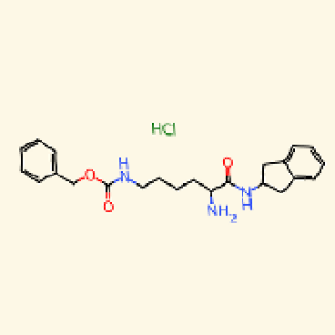 Cl.N[C@@H](CCCCNC(=O)OCc1ccccc1)C(=O)NC1Cc2ccccc2C1